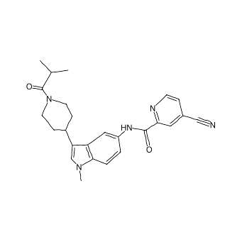 CC(C)C(=O)N1CCC(c2cn(C)c3ccc(NC(=O)c4cc(C#N)ccn4)cc23)CC1